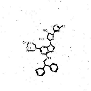 CCc1noc([C@H]2O[C@@H](n3cnc4c(NCC(c5ccccc5)c5ccccc5)nc(N(CO)CC(C)C)nc43)[C@H](O)[C@@H]2O)n1.O=CO